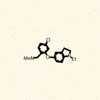 CCN1CCc2cc(Oc3cc(Cl)ccc3CNC)ccc21